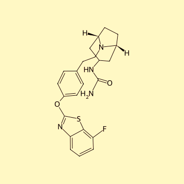 NC(=O)NC1C[C@H]2CC[C@@H](C1)N2CCc1ccc(Oc2nc3cccc(F)c3s2)cc1